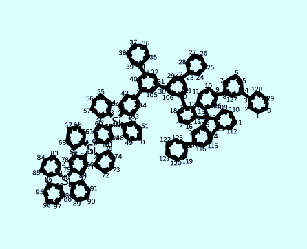 c1ccc(-c2cccc(-c3cccc(C4(c5cccc(-c6cc(-c7ccccc7)cc(-c7cc(-c8ccccc8)cc(-c8ccc([Si](c9ccccc9)(c9ccccc9)c9ccc([Si](c%10ccccc%10)(c%10ccccc%10)c%10ccc([Si](c%11ccccc%11)(c%11ccccc%11)c%11ccccc%11)cc%10)cc9)cc8)c7)c6)c5)c5ccccc5-c5ccc(-c6ccccc6)cc54)c3)c2)cc1